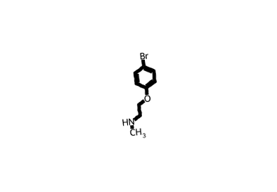 CNCCOc1ccc(Br)cc1